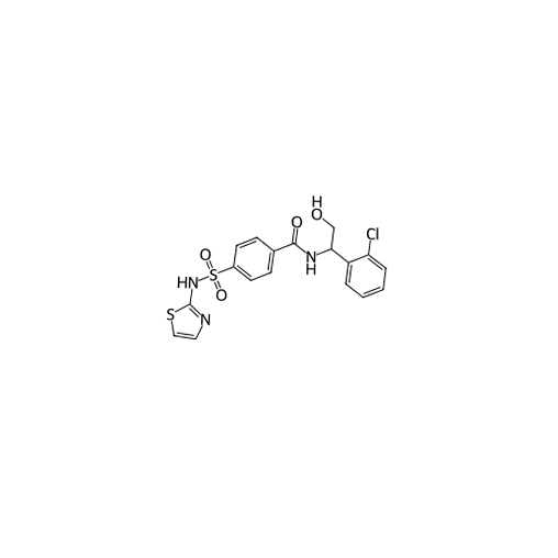 O=C(NC(CO)c1ccccc1Cl)c1ccc(S(=O)(=O)Nc2nccs2)cc1